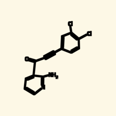 Nc1ncccc1C(=O)C#Cc1ccc(Cl)c(Cl)c1